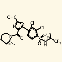 C[C@@H]1CCCCN1C(=O)c1nc(C=O)sc1-c1ccc(S(=O)(=O)N[C@@H](C)C(F)(F)F)c(Cl)c1Cl